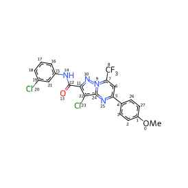 COc1ccc(-c2cc(C(F)(F)F)n3nc(C(=O)Nc4cccc(Cl)c4)c(Cl)c3n2)cc1